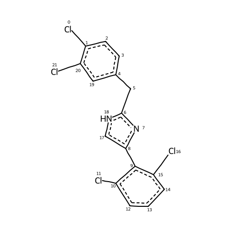 Clc1ccc(Cc2nc(-c3c(Cl)cccc3Cl)c[nH]2)cc1Cl